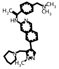 C=C(Nc1cc2cc(-c3cnn(C)c3CN3CCCCC3)ccc2cn1)c1ccc(CN(C)C)cc1